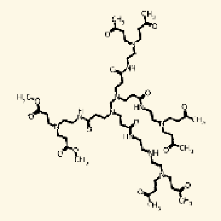 COC(=O)CCN(CCNC(=O)CCN(CCC(=O)NCCNCCN(CCC(C)=O)CCC(C)=O)CN(CCC(=O)NCCN(CCC(C)=O)CCC(C)=O)CCC(=O)NCCN(CCC(C)=O)CCC(C)=O)CCC(=O)OC